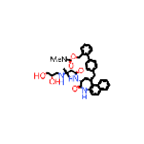 CNC(=O)OCc1ccccc1-c1ccc(CC2C[C@@H](NC(=O)CC(C)(C)NC[C@H](O)CO)C(=O)Nc3ccc4ccccc4c32)cc1